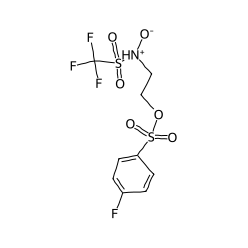 O=S(=O)(OCC[NH+]([O-])S(=O)(=O)C(F)(F)F)c1ccc(F)cc1